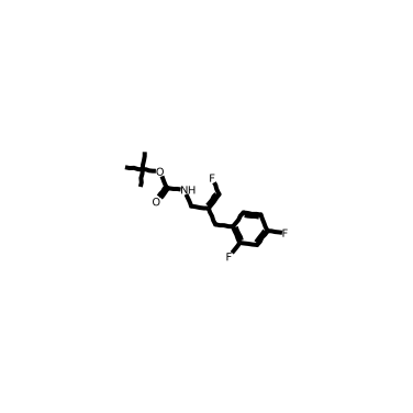 CC(C)(C)OC(=O)NCC(=CF)Cc1ccc(F)cc1F